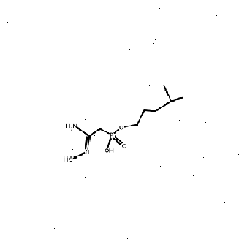 CC(C)CCCOP(=O)(O)CC(N)=NO